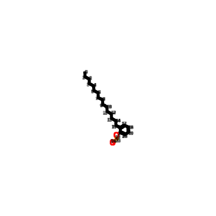 CCCCCCCCCCCCCCCCc1ccccc1OP=O